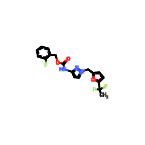 CC(F)(F)c1ccc(Cn2ccc(NC(=O)OCc3ccccc3F)n2)o1